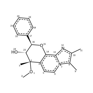 CO[C@@]1(C)c2ccn3c(C)c(C)nc3c2O[C@H](c2ccccc2)[C@H]1O